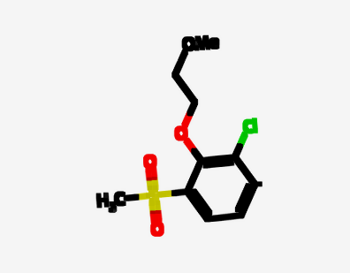 COCCOc1c(Cl)[c]ccc1S(C)(=O)=O